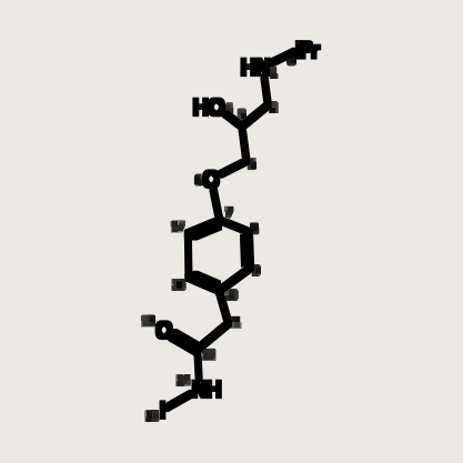 CC(C)NCC(O)COc1ccc(CC(=O)NI)cc1